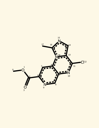 COC(=O)c1cc2c(cn1)nc(Cl)c1cnc(C)n12